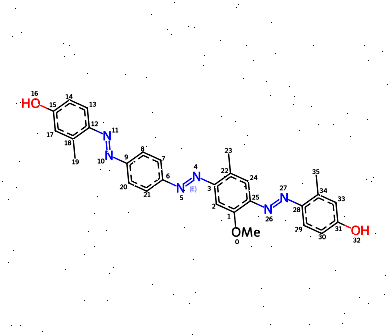 COc1cc(/N=N/c2ccc(N=Nc3ccc(O)cc3C)cc2)c(C)cc1N=Nc1ccc(O)cc1C